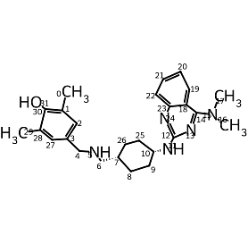 Cc1cc(CNC[C@H]2CC[C@@H](Nc3nc(N(C)C)c4ccccc4n3)CC2)cc(C)c1O